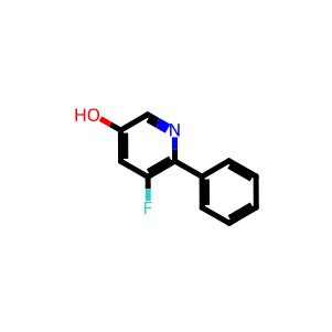 Oc1cnc(-c2ccccc2)c(F)c1